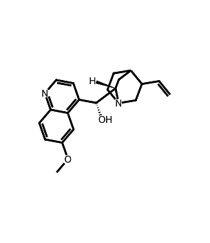 C=CC1CN2CCC1C[C@H]2[C@H](O)c1ccnc2ccc(OC)cc12